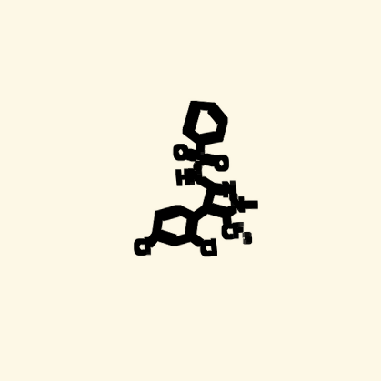 Cn1nc(NS(=O)(=O)c2ccccc2)c(-c2ccc(Cl)cc2Cl)c1C(F)(F)F